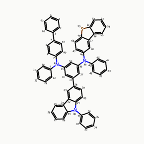 c1ccc(-c2ccc(N(c3ccccc3)c3cc(-c4ccc5c(c4)c4ccccc4n5-c4ccccc4)cc(N(c4ccccc4)c4ccc5sc6ccccc6c5c4)c3)cc2)cc1